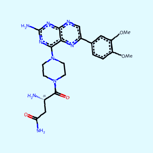 COc1ccc(-c2cnc3nc(N)nc(N4CCN(C(=O)[C@@H](N)CC(N)=O)CC4)c3n2)cc1OC